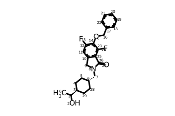 CC(O)[C@H]1CC[C@H](CN2Cc3cc(F)c(OCc4ccccc4)c(F)c3C2=O)CC1